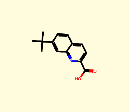 CC(C)(C)c1ccc2ccc(C(=O)O)nc2c1